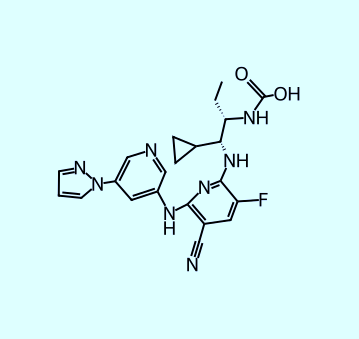 CC[C@H](NC(=O)O)[C@H](Nc1nc(Nc2cncc(-n3cccn3)c2)c(C#N)cc1F)C1CC1